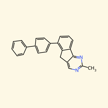 Cc1ncc2c(n1)-c1cccc(-c3ccc(-c4ccccc4)cc3)c1C2